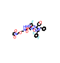 O=C(NCCOCCN1C(=O)C=CC1=O)OC1CN(C(=O)N(C[C@@H]2CNC[C@@H]2F)[C@@H](c2nc(-c3cc(F)ccc3F)cn2Cc2ccccc2)C2CCOCC2)C1